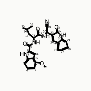 COc1cccc2[nH]c(C(=O)NC(CC(C)C)C(=O)NC(C#N)c3cc4ccccc4[nH]c3=O)cc12